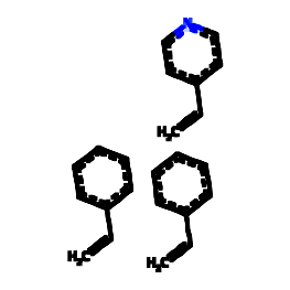 C=Cc1ccccc1.C=Cc1ccccc1.C=Cc1ccncc1